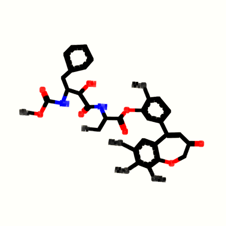 COc1ccc(C2=CC(=O)COc3c2cc(OC)c(OC)c3OC)cc1OC(=O)C(CC(C)C)NC(=O)C(O)C(Cc1ccccc1)NC(=O)OC(C)(C)C